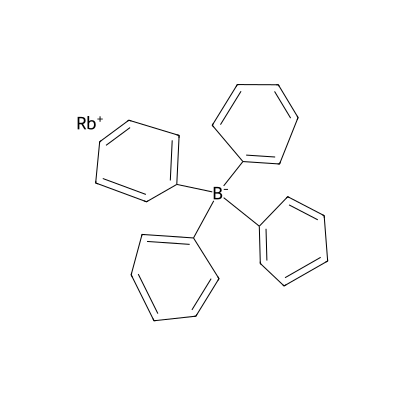 [Rb+].c1ccc([B-](c2ccccc2)(c2ccccc2)c2ccccc2)cc1